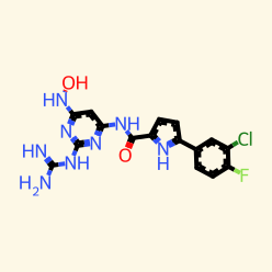 N=C(N)Nc1nc(NO)cc(NC(=O)c2ccc(-c3ccc(F)c(Cl)c3)[nH]2)n1